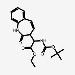 CCOC(=O)C(NC(=O)OC(C)(C)C)C1C=Cc2ccccc2NC1=O